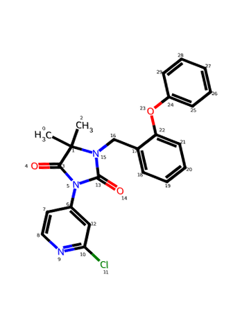 CC1(C)C(=O)N(c2ccnc(Cl)c2)C(=O)N1Cc1ccccc1Oc1ccccc1